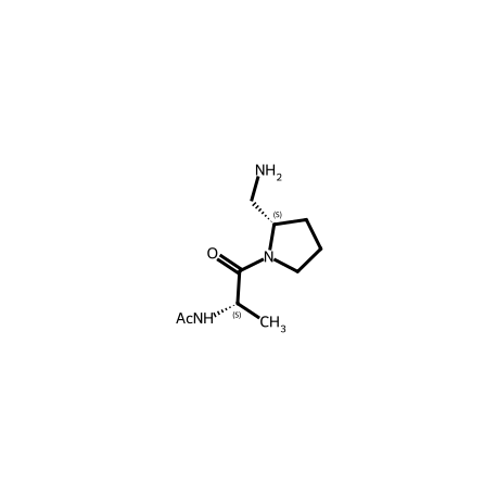 CC(=O)N[C@@H](C)C(=O)N1CCC[C@H]1CN